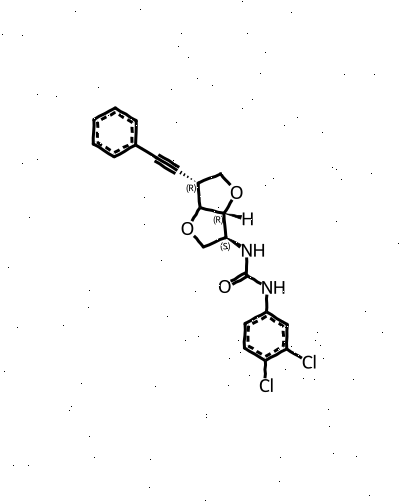 O=C(Nc1ccc(Cl)c(Cl)c1)N[C@H]1COC2[C@H](C#Cc3ccccc3)CO[C@@H]21